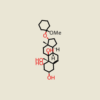 COC1(O[C@H]2CC[C@H]3[C@@H]4CC=C5C[C@@H](O)CC(O)[C@]5(CO)C4(O)CC[C@]23C)CCCCC1